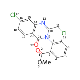 COC(=O)c1ccccc1-n1c(CCl)nc2cc(Cl)ccc2c1=O